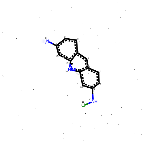 Nc1ccc2cc3ccc(NCl)cc3nc2c1